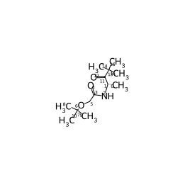 C[C@H](NC(=O)COC(C)(C)C)C(=O)C(C)(C)C